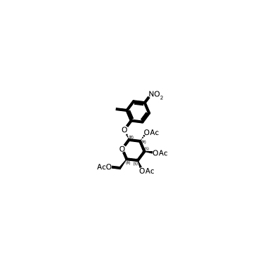 CC(=O)OC[C@H]1O[C@H](Oc2ccc([N+](=O)[O-])cc2C)[C@H](OC(C)=O)[C@@H](OC(C)=O)[C@H]1OC(C)=O